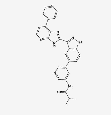 CC(C)C(=O)Nc1cncc(-c2ccc3[nH]nc(-c4nc5c(-c6ccncc6)ccnc5[nH]4)c3n2)c1